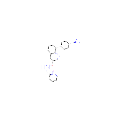 C[C@H](NC(=O)c1cnc2c(-c3ccc(C#N)cc3)cccc2c1)c1ccccn1